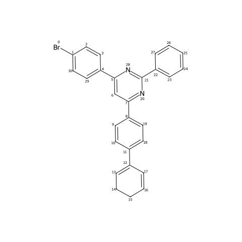 Brc1ccc(-c2cc(-c3ccc(C4=CCCC=C4)cc3)nc(-c3ccccc3)n2)cc1